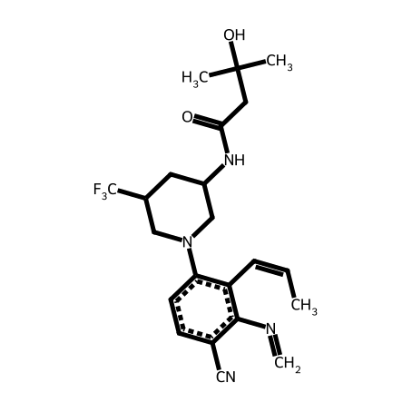 C=Nc1c(C#N)ccc(N2CC(NC(=O)CC(C)(C)O)CC(C(F)(F)F)C2)c1/C=C\C